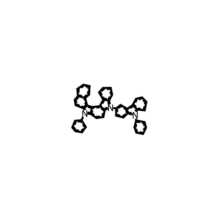 c1ccc(-n2c3ccccc3c3cc(-n4c5ccccc5c5c6c7c8ccccc8ccc7n(-c7ccccc7)c6ccc54)ccc32)cc1